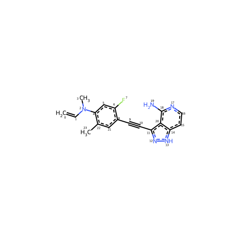 C=CN(C)c1cc(F)c(C#Cc2n[nH]c3ccnc(N)c23)cc1C